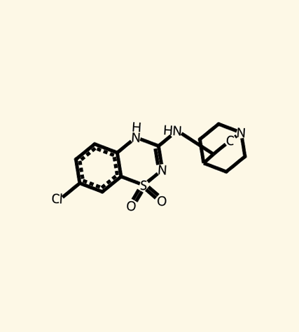 O=S1(=O)N=C(NC2CN3CCC2CC3)Nc2ccc(Cl)cc21